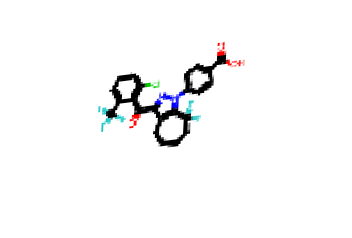 O=C(O)c1ccc(-n2nc(C(=O)c3c(Cl)cccc3C(F)(F)F)c3c2C(F)(F)CCCC3)cc1